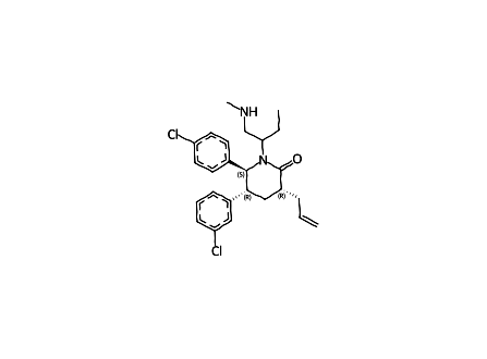 C=CC[C@@H]1C[C@H](c2cccc(Cl)c2)[C@@H](c2ccc(Cl)cc2)N(C(CC)CNC)C1=O